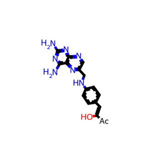 CC(=O)/C(O)=C/c1ccc(NCc2cnc3nc(N)nc(N)c3n2)cc1